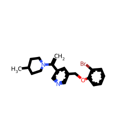 C=C(c1cncc(COc2ccccc2Br)c1)N1CCC(C)CC1